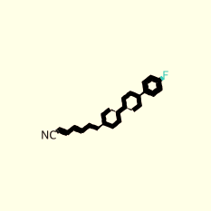 N#CC=CC=CCC[C@H]1CC[C@H]([C@H]2CC[C@H](c3ccc(F)cc3)CC2)CC1